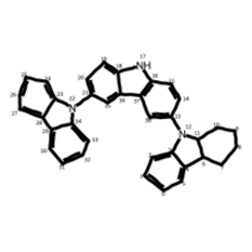 c1ccc2c(c1)C1CCCCC1N2c1ccc2[nH]c3ccc(-n4c5ccccc5c5ccccc54)cc3c2c1